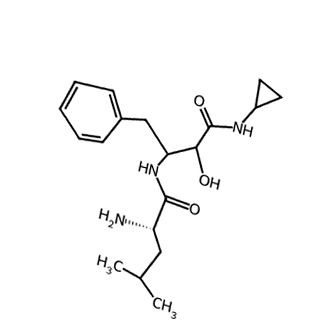 CC(C)C[C@H](N)C(=O)NC(Cc1ccccc1)C(O)C(=O)NC1CC1